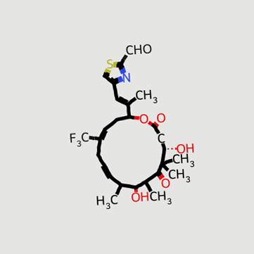 C/C(=C\c1csc(C=O)n1)C1C/C=C(/C(F)(F)F)C/C=C/C(C)C(O)C(C)C(=O)C(C)(C)[C@@H](O)CC(=O)O1